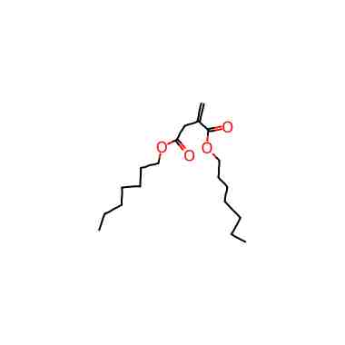 C=C(CC(=O)OCCCCCCC)C(=O)OCCCCCCC